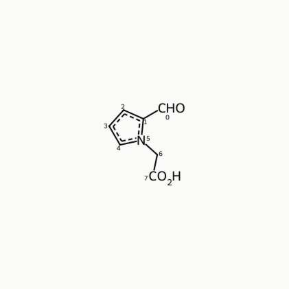 O=Cc1cccn1CC(=O)O